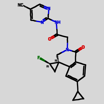 N#Cc1cnc(NC(=O)CN2C[C@@]3(C[C@H]3F)c3cc(C4CC4)ccc3C2=O)nc1